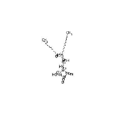 CCCCCCCCCCCCCCCCC(=O)O[C@@H](COC(=O)CCCCCCCCCCCCCCC)COP(=O)(O)OCCNC(=O)CN1CCN(COC=O)CCN(COC=O)CCN(CC(=O)O)CC1